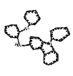 c1ccc(Nc2ccccc2Nc2ccc3c(c2)c2ccccc2n3-c2ccccc2)cc1